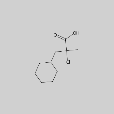 CC(Cl)(CC1CCCCC1)C(=O)O